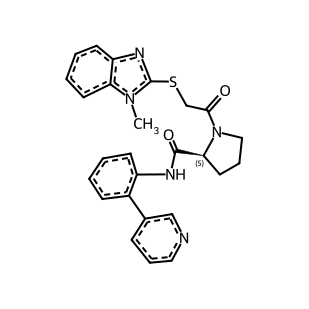 Cn1c(SCC(=O)N2CCC[C@H]2C(=O)Nc2ccccc2-c2cccnc2)nc2ccccc21